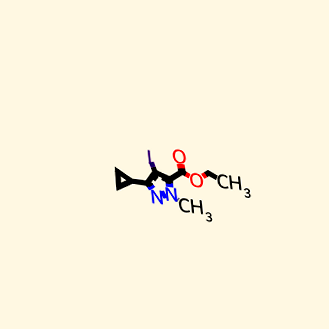 CCOC(=O)c1c(I)c(C2CC2)nn1C